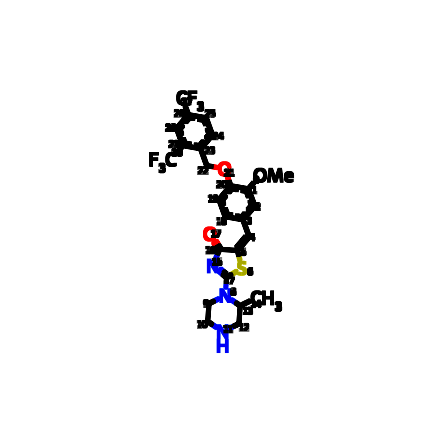 COc1cc(C=C2SC(N3CCNCC3C)=NC2=O)ccc1OCc1ccc(C(F)(F)F)cc1C(F)(F)F